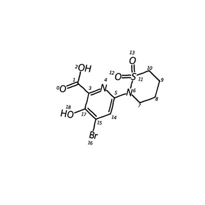 O=C(O)c1nc(N2CCCCS2(=O)=O)cc(Br)c1O